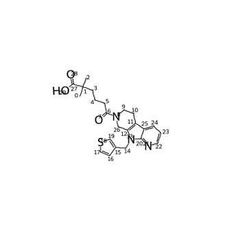 CC(C)(CCCC(=O)N1CCc2c(n(Cc3ccsc3)c3ncccc23)C1)C(=O)O